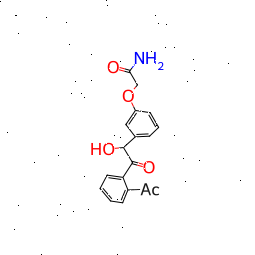 CC(=O)c1ccccc1C(=O)C(O)c1cccc(OCC(N)=O)c1